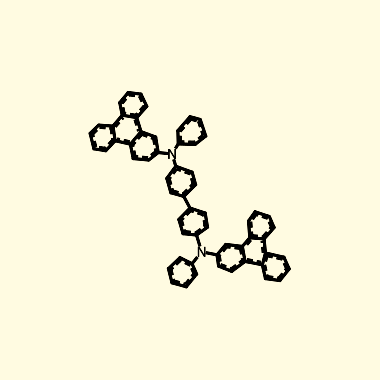 c1ccc(N(c2ccc(-c3ccc(N(c4ccccc4)c4ccc5c6ccccc6c6ccccc6c5c4)cc3)cc2)c2ccc3c4ccccc4c4ccccc4c3c2)cc1